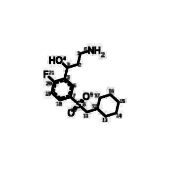 NCCC(O)c1cc(S(=O)(=O)CC2CCCCC2)ccc1F